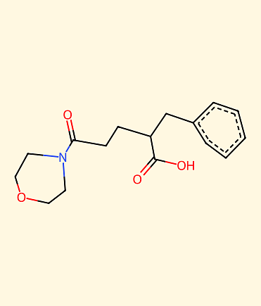 O=C(O)C(CCC(=O)N1CCOCC1)Cc1ccccc1